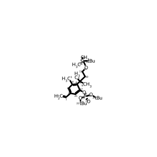 C=Cc1cc(C)c(C(C)(C)CCO[Si](C)(C)C(C)(C)C)c(OP(=O)(OC(C)(C)C)OC(C)(C)C)c1